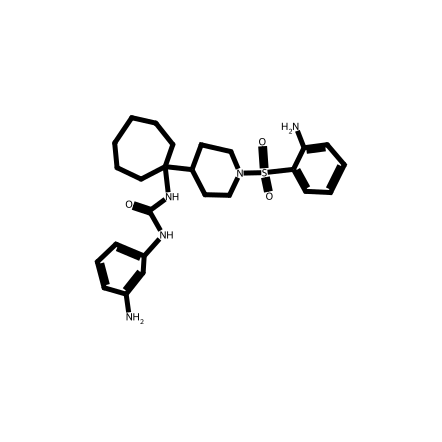 Nc1cccc(NC(=O)NC2(C3CCN(S(=O)(=O)c4ccccc4N)CC3)CCCCCC2)c1